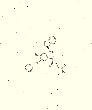 COC(=O)CCC(=O)N(C)c1cc(OCc2ccccc2)c(OC)cc1C(=O)N1CCc2ccccc21